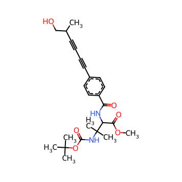 COC(=O)C(NC(=O)c1ccc(C#CC#CC(C)CO)cc1)C(C)(C)NC(=O)OC(C)(C)C